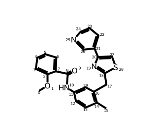 COc1ccccc1C(=O)Nc1ccc(C)c(Cc2nc(-c3cccnc3)cs2)c1